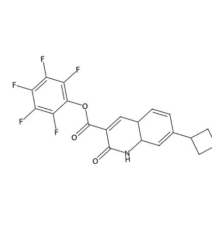 O=C1NC2C=C(C3CCC3)C=CC2C=C1C(=O)Oc1c(F)c(F)c(F)c(F)c1F